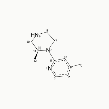 Cc1ccnc(N2CCNC[C@@H]2C)c1